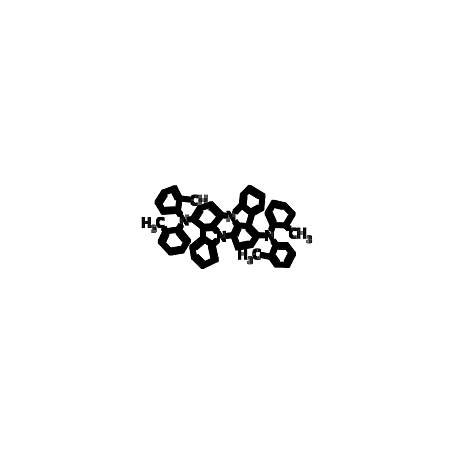 Cc1ccccc1N(C1=CC=CCC1C)c1ccc2c3c1c1ccccc1n3c1ccc(N(c3ccccc3C)c3ccccc3C)c3c4ccccc4n2c31